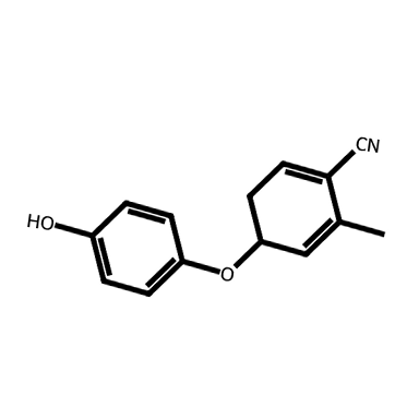 CC1=CC(Oc2ccc(O)cc2)CC=C1C#N